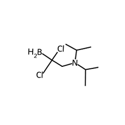 BC(Cl)(Cl)CN(C(C)C)C(C)C